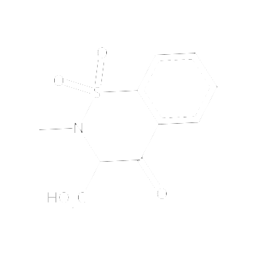 CN1C(C(=O)O)C(=O)c2ccccc2S1(=O)=O